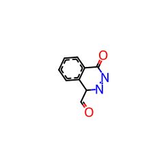 O=CC1N=NC(=O)c2ccccc21